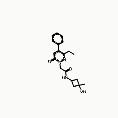 CCc1nn(CC(=O)NC2CC(C)(O)C2)c(=O)cc1-c1ccccc1